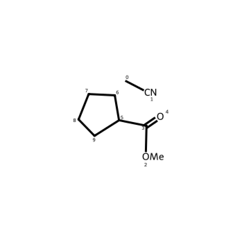 CC#N.COC(=O)C1CCCC1